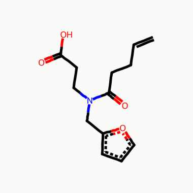 C=CCCC(=O)N(CCC(=O)O)Cc1ccco1